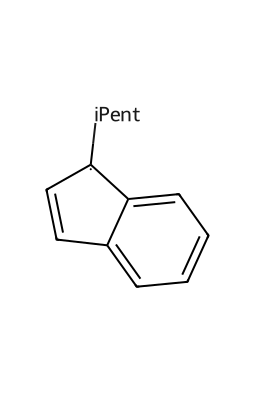 CCCC(C)[C]1C=Cc2ccccc21